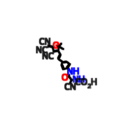 CC1(C)OC(=C(C#N)C#N)C(C#N)=C1/C=C/c1ccc(NC(=O)C(CC#N)NC(=O)O)cc1